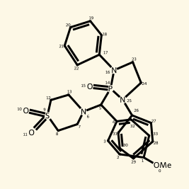 COc1ccc(C(N2CCS(=O)(=O)CC2)P2(=O)N(c3ccccc3)CCN2c2ccccc2)cc1